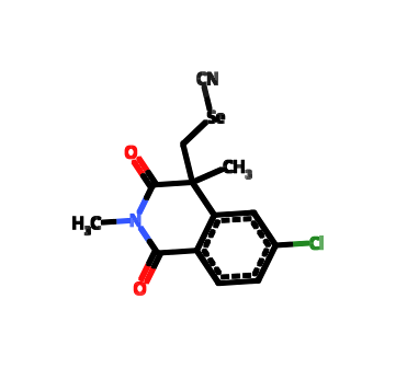 CN1C(=O)c2ccc(Cl)cc2C(C)(C[Se]C#N)C1=O